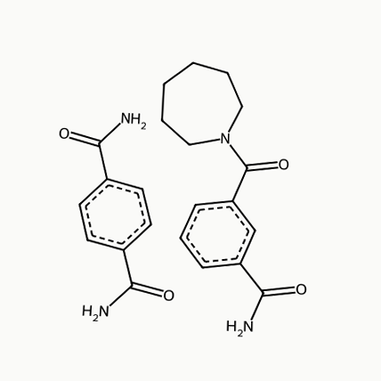 NC(=O)c1ccc(C(N)=O)cc1.NC(=O)c1cccc(C(=O)N2CCCCCC2)c1